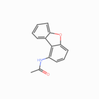 CC(=O)Nc1cccc2oc3ccccc3c12